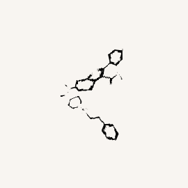 CNC(=O)c1c(-c2ccc(F)cc2)oc2cc(N(C)SC)c([C@H]3CCCN(S(=O)(=O)CCc4ccccc4)C3)cc12